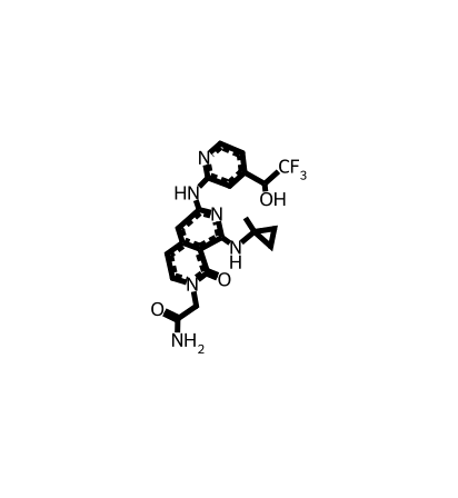 CC1(Nc2nc(Nc3cc(C(O)C(F)(F)F)ccn3)cc3ccn(CC(N)=O)c(=O)c23)CC1